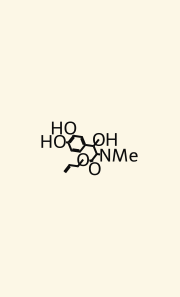 C=CCOC(=O)C(NC)C(O)c1ccc(O)c(O)c1